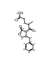 CC(CCC(=O)O)C(=O)N1C(=O)OCC1Cc1ccccc1